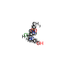 Cc1ccc(S(=O)(=O)n2ccc3c(C[n+]4ccccc4-c4ccc(CO)cc4)c(C)cc(C)c32)cc1.[Cl-]